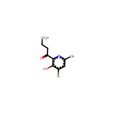 N#Cc1cc(Br)c(O)c(C(=O)CCC(=O)O)n1